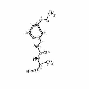 CCCCCC(C)NC(=O)NCc1cccc(OCC(F)(F)F)c1